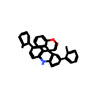 Cc1ccccc1-c1ccc2c(c1)C1(c3cc(-c4ccccc4C)ccc3N2)c2ccccc2Oc2ccccc21